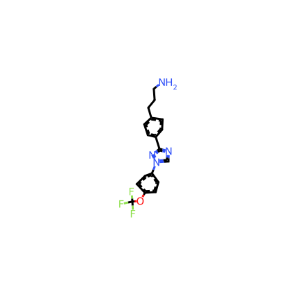 NCCCc1ccc(-c2ncn(-c3ccc(OC(F)(F)F)cc3)n2)cc1